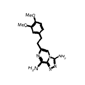 COc1ccc(CCc2cn3c(N)nnc3c(N)n2)cc1OC